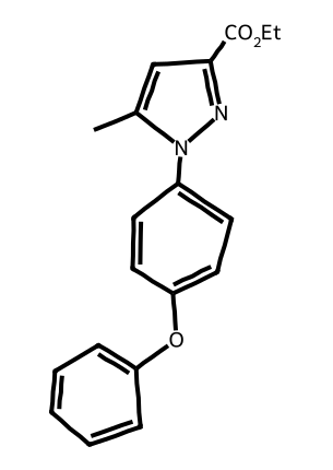 CCOC(=O)c1cc(C)n(-c2ccc(Oc3ccccc3)cc2)n1